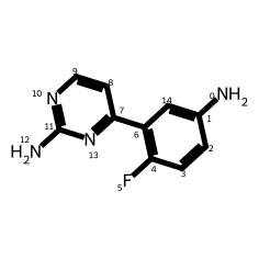 Nc1ccc(F)c(-c2ccnc(N)n2)c1